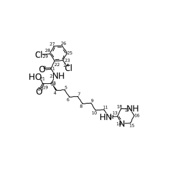 O=C(N[C@@H](CCCCCCCCNC1=NCCNC1)C(=O)O)c1c(Cl)cccc1Cl